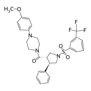 COc1ccc(N2CCN(C(=O)[C@@H]3CN(S(=O)(=O)c4cccc(C(F)(F)F)c4)C[C@H]3c3ccccc3)CC2)cc1